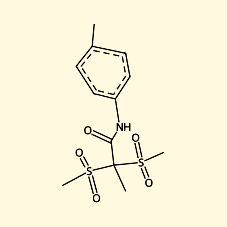 Cc1ccc(NC(=O)C(C)(S(C)(=O)=O)S(C)(=O)=O)cc1